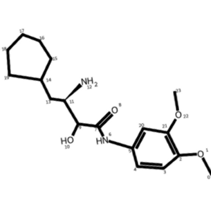 COc1ccc(NC(=O)C(O)[C@H](N)CC2CCCCC2)cc1OC